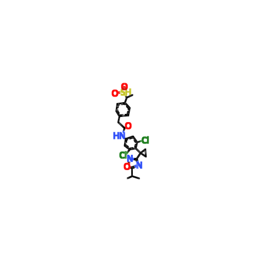 CC(C)c1nc(C2(c3c(Cl)cc(NC(=O)Cc4ccc(C(C)[SH](=O)=O)cc4)cc3Cl)CC2)no1